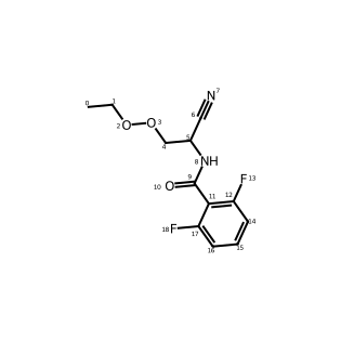 CCOOCC(C#N)NC(=O)c1c(F)cccc1F